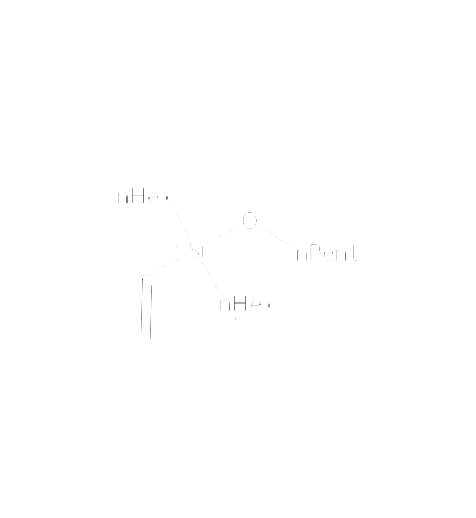 C=C[Si](CCCCCC)(CCCCCC)OCCCCC